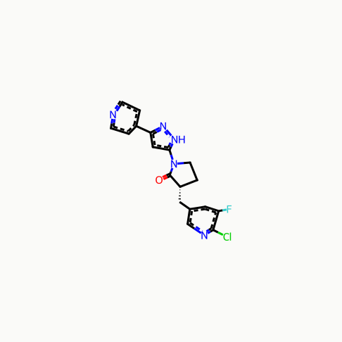 O=C1[C@@H](Cc2cnc(Cl)c(F)c2)CCN1c1cc(-c2ccncc2)n[nH]1